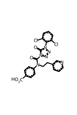 O=C(O)c1ccc(N(CCc2cccnc2)C(=O)n2nnn(-c3c(Cl)cccc3Cl)c2=O)cc1